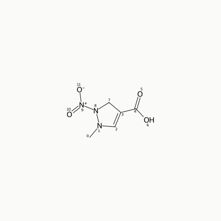 CN1C=C(C(=O)O)CN1[N+](=O)[O-]